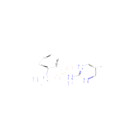 Cc1cnc(NS(=O)(=O)c2ccccc2N)nc1